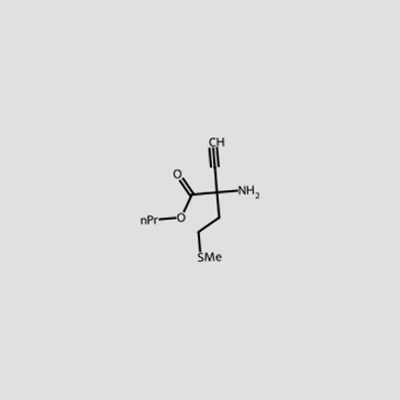 C#CC(N)(CCSC)C(=O)OCCC